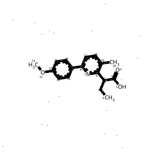 CCC(C(=O)O)c1nc(-c2ccc(OC)cc2)ccc1C